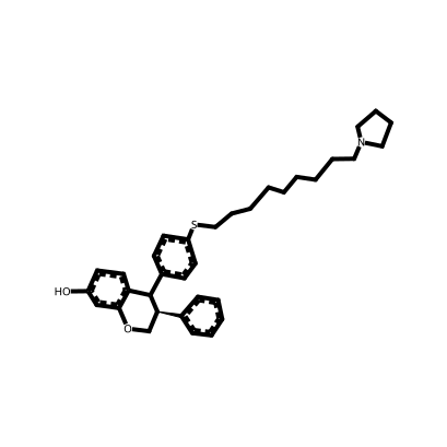 Oc1ccc2c(c1)OC[C@H](c1ccccc1)C2c1ccc(SCCCCCCCCCN2CCCC2)cc1